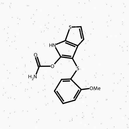 COc1ccccc1Sc1c(OC(N)=O)[nH]c2sccc12